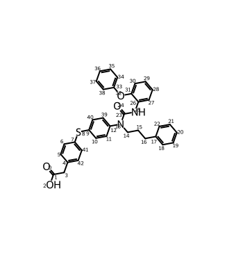 O=C(O)Cc1ccc(Sc2ccc(N(CCCc3ccccc3)C(=O)Nc3ccccc3Oc3ccccc3)cc2)cc1